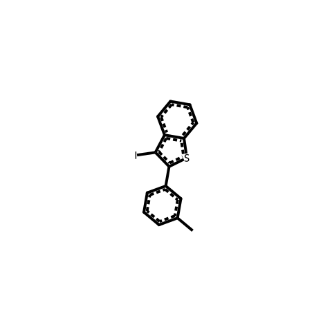 Cc1cccc(-c2sc3ccccc3c2I)c1